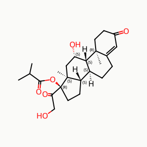 CC(C)C(=O)O[C@]1(C(=O)CO)CC[C@H]2[C@@H]3CCC4=CC(=O)CC[C@]4(C)[C@H]3[C@@H](O)C[C@@]21C